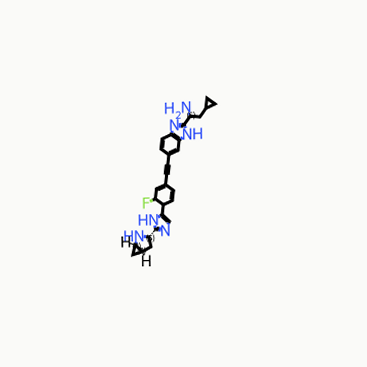 N[C@@H](CC1CC1)c1nc2ccc(C#CC3=CC(F)C(c4cnc([C@@H]5C[C@H]6C[C@H]6N5)[nH]4)C=C3)cc2[nH]1